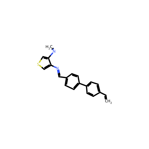 C=Cc1ccc(-c2ccc(C=Nc3cscc3N=C)cc2)cc1